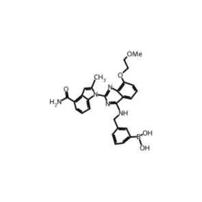 COCCOc1cccc2c(NCc3cccc(B(O)O)c3)nc(-n3c(C)cc4c(C(N)=O)cccc43)nc12